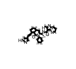 Cc1nn2cccnc2c1C(=O)N[C@@H](C)c1cc2cccc(C#Cc3cn[nH]c3)c2c(=O)n1-c1ccccc1